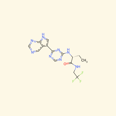 CC[C@@H](Nc1ncnc(-c2c[nH]c3ncncc23)n1)C(=O)NCC(F)(F)F